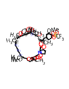 CO[C@H]1CC2CC[C@@H](C)[C@@](O)(O2)C(=O)C(=O)N2CCCCC2C(=O)O[C@H]([C@H](C)C[C@@H]2CC[C@@H](OS(=O)(=O)C(F)(F)F)[C@H](OC)C2)CC(=O)[C@H](C)/C=C(\C)[C@@H](O)[C@@H](OC)C(=O)[C@H](C)C[C@H](C)/C=C/C=C/C=C/1C